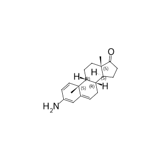 C[C@]12C=CC(N)=CC1=CC[C@@H]1[C@H]2CC[C@]2(C)C(=O)CC[C@@H]12